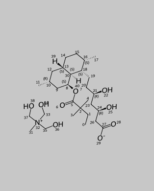 CCC(C)(C)C(=O)O[C@H]1C[C@H](C)C[C@@H]2CC[C@H](C)[C@H](CC[C@@H](O)C[C@@H](O)CC(=O)[O-])[C@H]21.C[N+](CO)(CO)CO